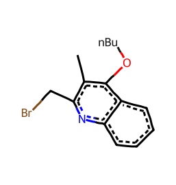 CCCCOc1c(C)c(CBr)nc2ccccc12